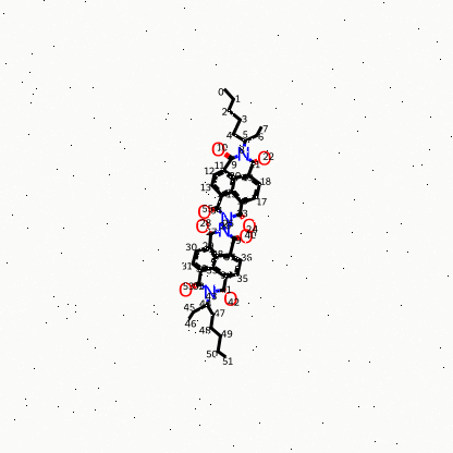 CCCCCC(CC)N1C(=O)c2ccc3c4c(ccc(c24)C1=O)C(=O)N(N1C(=O)c2ccc4c5c(ccc(c25)C1=O)C(=O)N(C(CC)CCCCC)C4=O)C3=O